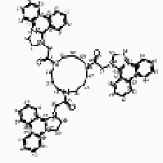 O=C(CN1CC[n+]2c1c1ccccc1c1ccccc12)N1CCCN(C(=O)CN2CC[n+]3c2c2ccccc2c2ccccc23)CCCN(C(=O)CN2CC[n+]3c2c2ccccc2c2ccccc23)CCC1